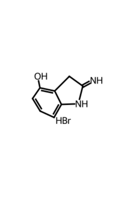 Br.N=C1Cc2c(O)cccc2N1